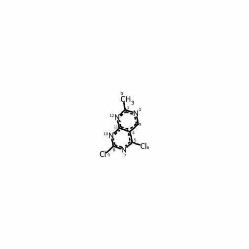 Cc1ncc2c(Cl)nc(Cl)nc2n1